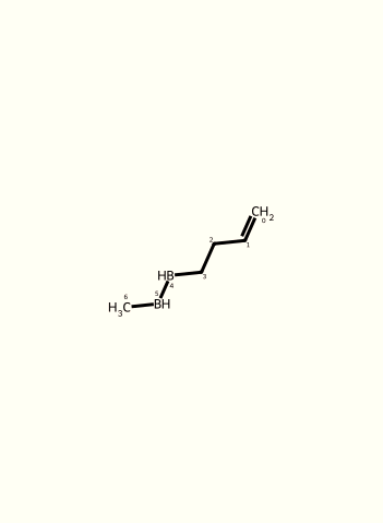 C=CCCBBC